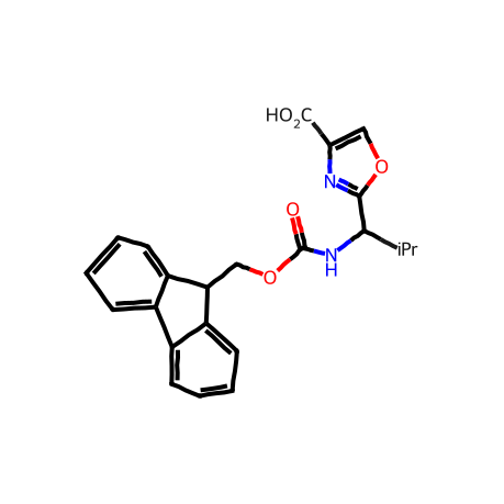 CC(C)C(NC(=O)OCC1c2ccccc2-c2ccccc21)c1nc(C(=O)O)co1